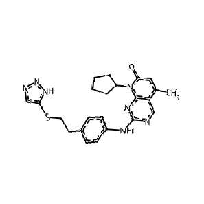 Cc1cc(=O)n(C2CCCC2)c2nc(Nc3ccc(CCSc4cnn[nH]4)cc3)ncc12